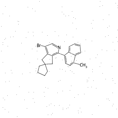 Cc1ccc(-c2ncc(Br)c3c2CC2(CCCC2)C3)c2ccccc12